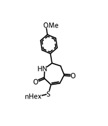 CCCCCCSC1=CC(=O)CC(c2ccc(OC)cc2)NC1=O